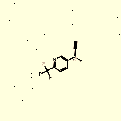 C#C[C@@H](C)c1ccc(C(F)(F)F)nc1